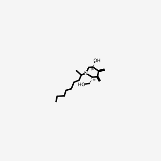 C=C1C(=C)[C@H](CO)N(C(C)CCCCCCC)C[C@@H]1O